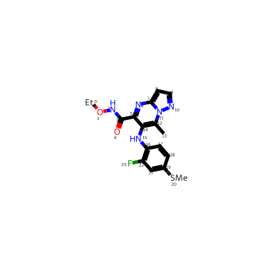 CCONC(=O)c1nc2ccnn2c(C)c1Nc1ccc(SC)cc1F